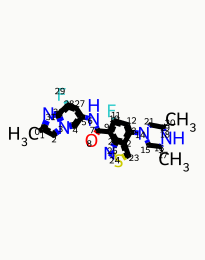 Cc1cn2cc(NC(=O)c3c(F)cc(N4C[C@@H](C)N[C@H](C)C4)c4csnc34)cc(F)c2n1